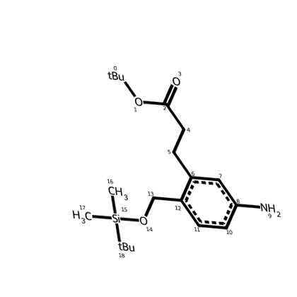 CC(C)(C)OC(=O)CCc1cc(N)ccc1CO[Si](C)(C)C(C)(C)C